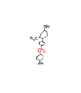 CCCCC1CCC(c2ccc(C(=O)O[C@H]3CC[C@H](CCC)CC3)cc2)C(C)C1